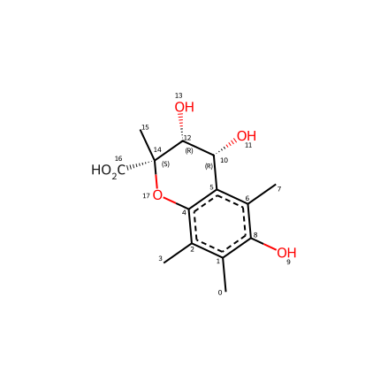 Cc1c(C)c2c(c(C)c1O)[C@@H](O)[C@@H](O)[C@@](C)(C(=O)O)O2